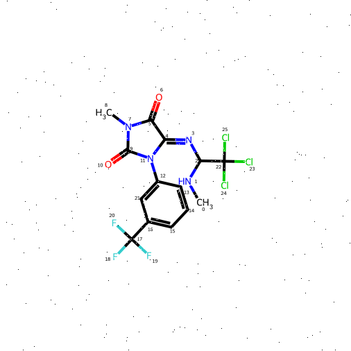 CNC(/N=C1/C(=O)N(C)C(=O)N1c1cccc(C(F)(F)F)c1)C(Cl)(Cl)Cl